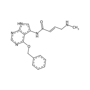 CNCC=CC(=O)Nc1c[nH]c2ncnc(OCc3ccccc3)c12